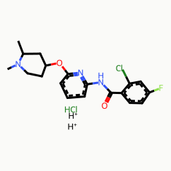 CC1CC(Oc2cccc(NC(=O)c3ccc(F)cc3Cl)n2)CCN1C.Cl.[H+].[H+]